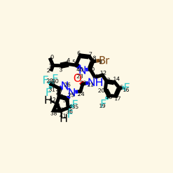 CC(C)C#Cc1ccc(Br)c(C(Cc2cc(F)cc(F)c2)NC(=O)Cn2nc(C(F)(F)F)c3c2C(F)(F)[C@@H]2C[C@H]32)n1